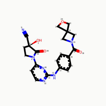 N#C[C@@]1(O)CCN(c2ccnc(Nc3ccc(C(=O)N4CC5(COC5)C4)cc3)n2)C1=O